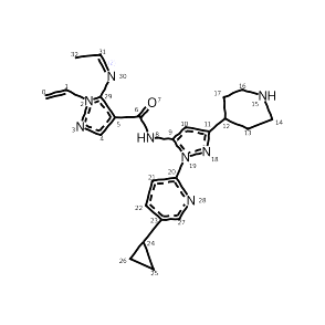 C=Cn1ncc(C(=O)Nc2cc(C3CCNCC3)nn2-c2ccc(C3CC3)cn2)c1/N=C\C